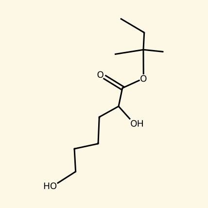 CCC(C)(C)OC(=O)C(O)CCCCO